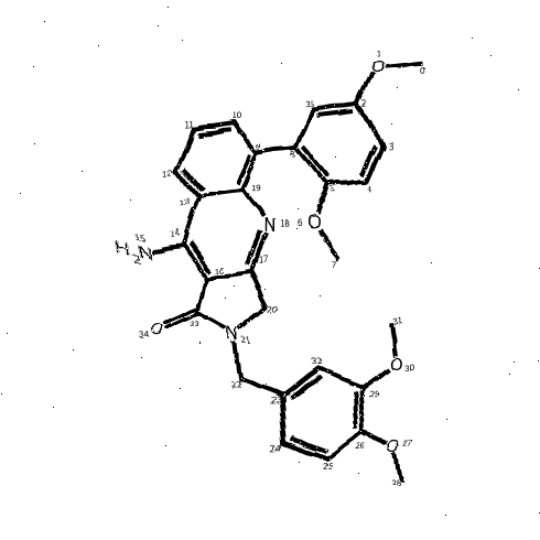 COc1ccc(OC)c(-c2cccc3c(N)c4c(nc23)CN(Cc2ccc(OC)c(OC)c2)C4=O)c1